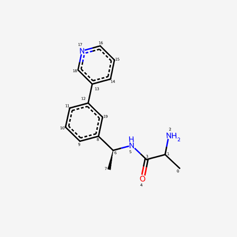 CC(N)C(=O)N[C@@H](C)c1cccc(-c2cccnc2)c1